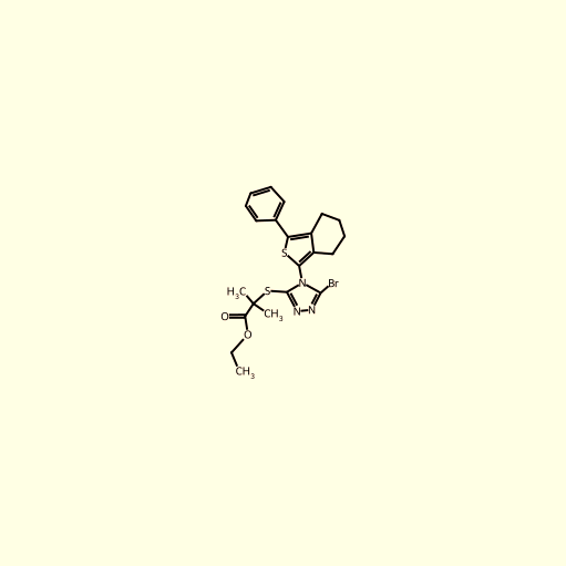 CCOC(=O)C(C)(C)Sc1nnc(Br)n1-c1sc(-c2ccccc2)c2c1CCCC2